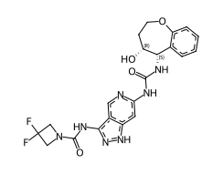 O=C(Nc1cc2[nH]nc(NC(=O)N3CC(F)(F)C3)c2cn1)N[C@H]1c2ccccc2OCC[C@H]1O